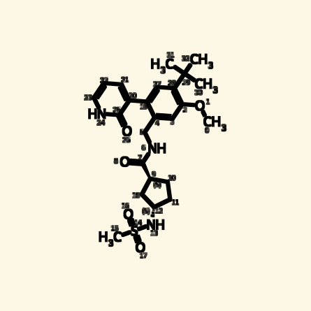 COc1cc(CNC(=O)[C@H]2CC[C@H](NS(C)(=O)=O)C2)c(-c2ccc[nH]c2=O)cc1C(C)(C)C